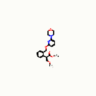 CO/C=C(\C(=O)OC)c1ccccc1COc1cccc(N2CCOCC2)n1